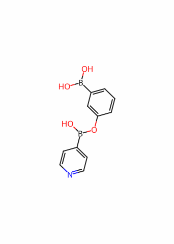 OB(O)c1cccc(OB(O)c2ccncc2)c1